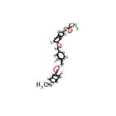 CSC1CC2C3CC(OCC4CCC(COC5CC6CC5C5CC(SC(C)=O)CC65)CC4)C(C3)C2C1